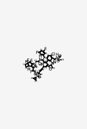 CC(C)(C#Cc1ccc(-c2ccc(Cl)c3c(NS(C)(=O)=O)nn(C4COC4)c23)c([C@H](Cc2cc(F)cc(F)c2)NC(=O)Cn2nc(C(F)F)c3c2C(F)(F)[C@@H]2CC[C@H]32)n1)S(=O)(=O)C1CC1